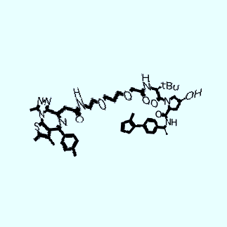 CC1=C(c2ccc([C@H](C)NC(=O)C3C[C@H](O)CN3C(=O)[C@@H](NC(=O)COCCCOCCNC(=O)CC3N=C(c4ccc(C)cc4)c4c(sc(C)c4C)-n4c(C)nnc43)C(C)(C)C)cc2)CC=C1